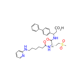 CS(=O)(=O)CC[C@H](NC(=O)CCCCCNc1ccccn1)C(=O)NC(CC(=O)O)c1ccc(-c2ccccc2)cc1